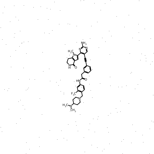 CN(C)C1CCN(Cc2ccc(NC(=O)Cc3cccc(C#Cc4cnc(N)nc4-c4cc5c(n4C)CCNC5=O)c3)cc2C(F)(F)F)CC1